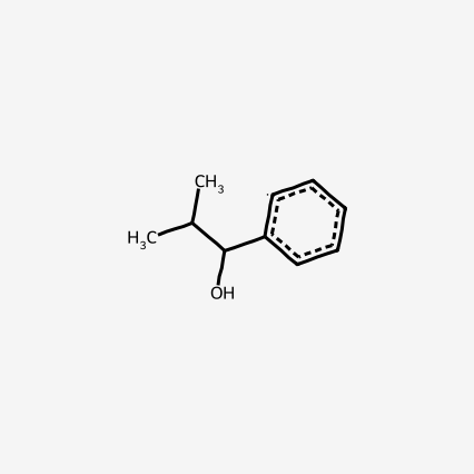 CC(C)C(O)c1[c]cccc1